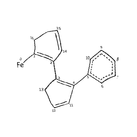 [Fe][C]1=C(C2=C(c3ccccc3)C=CC2)C=CC1